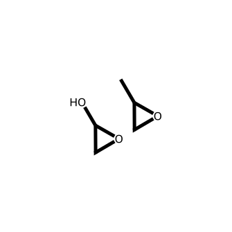 CC1CO1.OC1CO1